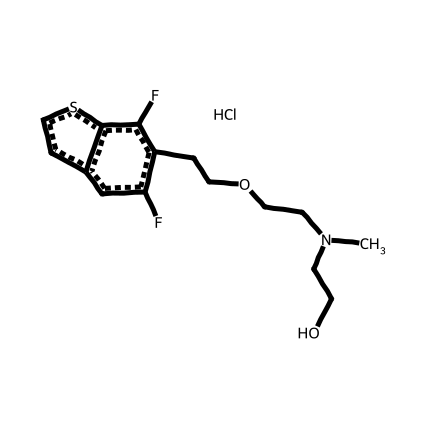 CN(CCO)CCOCCc1c(F)cc2ccsc2c1F.Cl